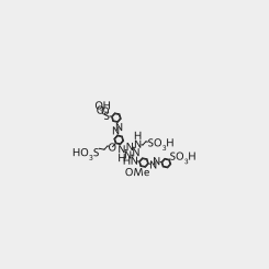 COc1cc(Nc2nc(NCCS(=O)(=O)O)nc(Nc3ccc(N=Nc4cccc(SOOO)c4)cc3OCCCS(=O)(=O)O)n2)ccc1N=Nc1cccc(S(=O)(=O)O)c1